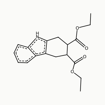 CCOC(=O)C1Cc2[nH]c3ccccc3c2CC1C(=O)OCC